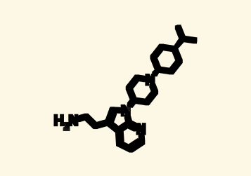 CC(C)[C@H]1CC[C@@H](N2CCC(n3cc(CCN)c4cccnc43)CC2)CC1